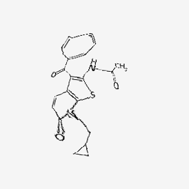 CC(=O)Nc1sc2c(ccc(=O)n2CC2CC2)c1C(=O)c1ccccc1